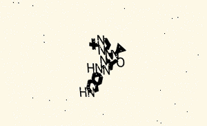 CC(C)(C)c1nccc(-n2c3nc(Nc4ccc5c(c4)CCNC5)ncc3c(=O)n2C2CC2)n1